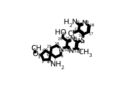 CO[C@H]1C[C@@H](N)C2(CCN(c3nc(C)c(Sc4ccnc(N)c4Cl)nc3CO)CC2)C1